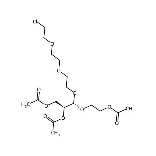 CC(=O)OCCO[C@@H](OCCOCCOCCCl)[C@H](COC(C)=O)OC(C)=O